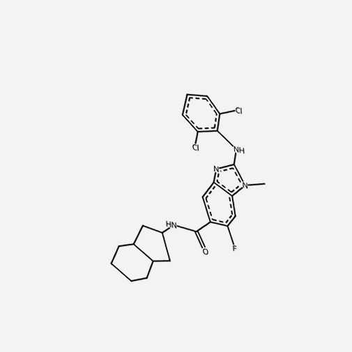 Cn1c(Nc2c(Cl)cccc2Cl)nc2cc(C(=O)NC3CC4CCCCC4C3)c(F)cc21